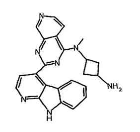 CN(c1nc(-c2ccnc3[nH]c4ccccc4c23)nc2cnccc12)C1CC(N)C1